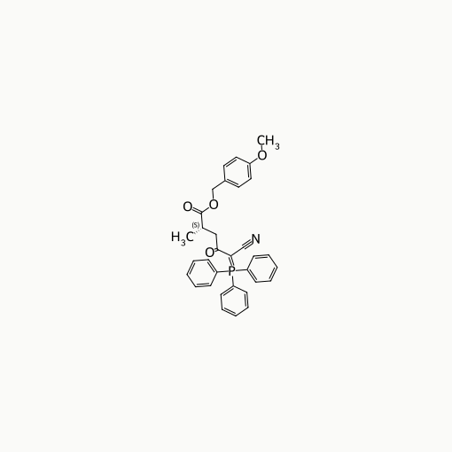 COc1ccc(COC(=O)[C@@H](C)CC(=O)C(C#N)=P(c2ccccc2)(c2ccccc2)c2ccccc2)cc1